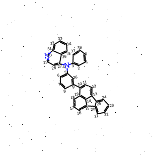 c1ccc(N(c2cccc(-c3ccc4c5c(cccc35)-c3ccccc3-4)c2)c2ccnc3ccccc23)cc1